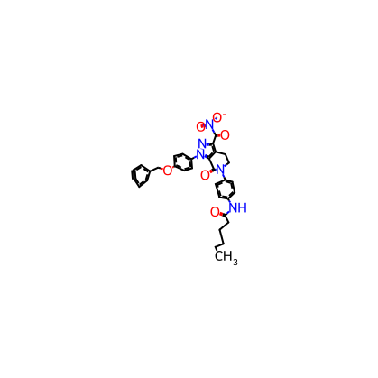 CCCCCC(=O)Nc1ccc(N2CCc3c(C(=O)[N+](=O)[O-])nn(-c4ccc(OCc5cc#ccc5)cc4)c3C2=O)cc1